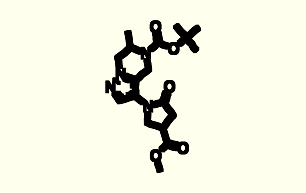 COC(=O)C1CC(=O)N(c2cnn3c2CN(C(=O)OC(C)(C)C)C(C)C3)C1